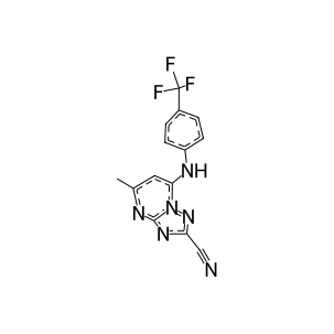 Cc1cc(Nc2ccc(C(F)(F)F)cc2)n2nc(C#N)nc2n1